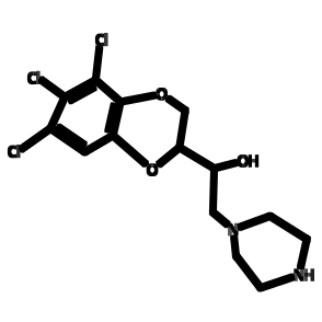 OC(CN1CCNCC1)C1COc2c(cc(Cl)c(Cl)c2Cl)O1